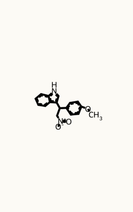 COc1ccc(C(C[N+](=O)[O-])c2c[nH]c3ccccc23)cc1